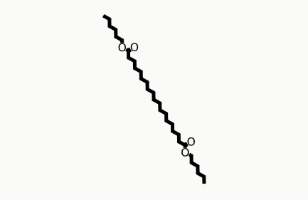 CCCCCCOC(=O)CCCCCCCCCCCCCCCCCC(=O)OCCCCCC